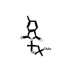 COC(C)(C)CC(C)(N)N1C(=O)c2ccc(C)cc2C1=O